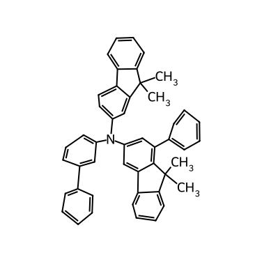 CC1(C)c2ccccc2-c2ccc(N(c3cccc(-c4ccccc4)c3)c3cc(-c4ccccc4)c4c(c3)-c3ccccc3C4(C)C)cc21